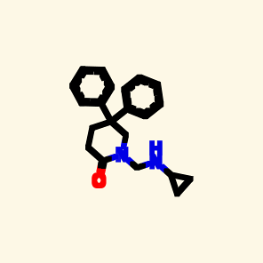 O=C1CCC(c2ccccc2)(c2ccccc2)CN1CNC1CC1